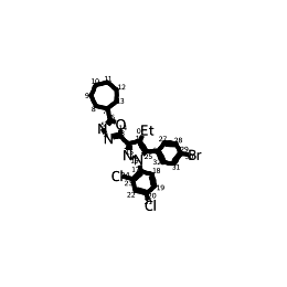 CCc1c(-c2nnc(C3CCCCCC3)o2)nn(-c2ccc(Cl)cc2Cl)c1-c1ccc(Br)cc1